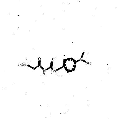 CCCCCCCCCCCC(=O)NC(=S)Nc1ccc(N(C)C(C)=O)cc1